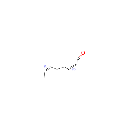 C/C=C\CC/C=C\C=O